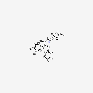 Cc1ccc(Cn2c(/C=C/c3ccc(C)o3)nc3cc(C)c(C)cc32)cc1